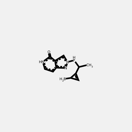 BC1C=C1C(C)Pn1cc2c(=O)[nH]ccc2n1